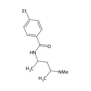 CCc1ccc(C(=O)NC(C)CC(C)NC)cc1